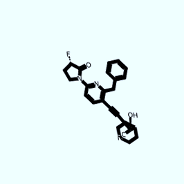 O=C1[C@@H](F)CCN1c1ccc(C#C[C@@]2(O)CN3CCC2CC3)c(Cc2ccccc2)n1